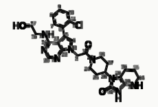 O=C(Cn1cc(-c2ccccc2Cl)c2c(NCCO)ncnc21)N1CCC(n2c3c([nH]c2=O)NCC=C3)CC1